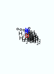 Bc1c(B)c(B)c(-c2c(B)c(B)c3oc4c(B)c(-c5nc(-c6ccccc6)nc(-c6ccc(-c7ccc(-c8ccccc8)cc7)cc6)n5)c(B)c(B)c4c3c2B)c(B)c1B